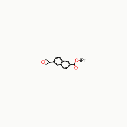 CC(C)OC(=O)c1ccc2cc(C3COC3)ccc2c1